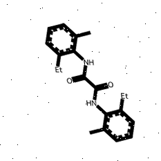 CCc1cccc(C)c1NC(=O)C(=O)Nc1c(C)cccc1CC